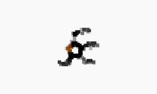 COC[C@H]1SC(OC)[C@@H](OC)[C@@H]1OC